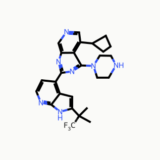 CC(C)(c1cc2c(-c3nc(N4CCNCC4)c4c(C5CCC5)cncc4n3)ccnc2[nH]1)C(F)(F)F